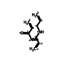 C=CC(=O)NC.C=CCNCC=C